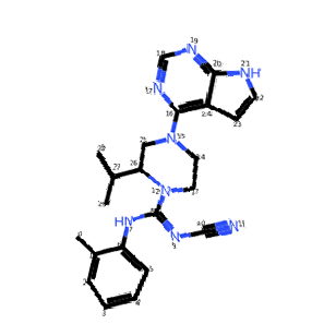 Cc1ccccc1N/C(=N/C#N)N1CCN(c2ncnc3[nH]ccc23)CC1C(C)C